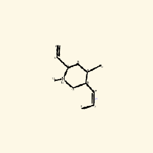 C=CC1CC(C)C(/C=C\C)CN1C